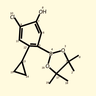 CC1(C)OB(c2cc(O)c(Cl)cc2C2CC2)OC1(C)C